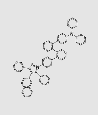 c1ccc(-c2nn(-c3ccc(-c4ccccc4-c4ccccc4-c4ccc(N(c5ccccc5)c5ccccc5)cc4)cc3)c(-c3ccccc3)c2-c2ccc3ccccc3c2)cc1